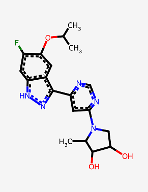 CC(C)Oc1cc2c(-c3cc(N4CC(O)C(O)C4C)ncn3)n[nH]c2cc1F